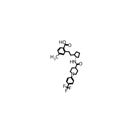 Cc1ccc(C(=O)O)c(CCC2CCC[C@@H]2NC(=O)C2CCN(c3ccc(C(F)(F)F)cc3)CC2)c1